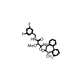 COC(C(=O)NCc1cc(F)cc(F)c1)C(=O)NC1C(=O)N(C)c2ccccc2-c2ccccc21